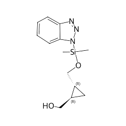 C[Si](C)(OC[C@@H]1C[C@H]1CO)n1nnc2ccccc21